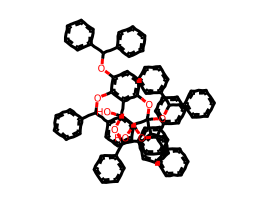 OC1(OC(c2ccccc2)c2ccccc2)c2c(ccc(OC(c3ccccc3)c3ccccc3)c2OC(c2ccccc2)c2ccccc2)OC(OC(c2ccccc2)c2ccccc2)(c2ccccc2)C1(O)OC(c1ccccc1)c1ccccc1